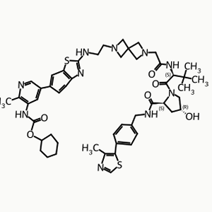 Cc1ncc(-c2ccc3nc(NCCN4CC5(C4)CN(CC(=O)N[C@H](C(=O)N4C[C@H](O)C[C@H]4C(=O)NCc4ccc(-c6scnc6C)cc4)C(C)(C)C)C5)sc3c2)cc1NC(=O)OC1CCCCC1